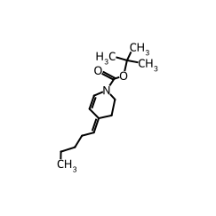 CCCCC=C1C=CN(C(=O)OC(C)(C)C)CC1